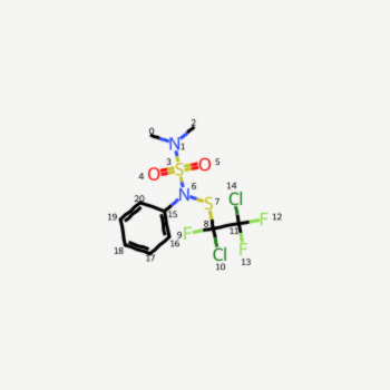 CN(C)S(=O)(=O)N(SC(F)(Cl)C(F)(F)Cl)c1ccccc1